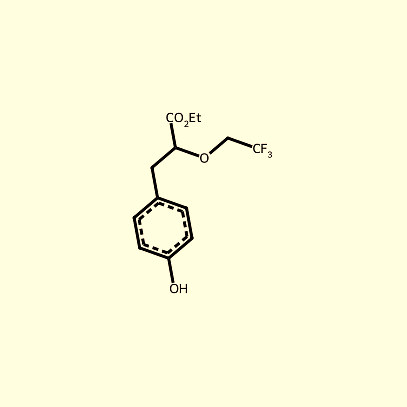 CCOC(=O)C(Cc1ccc(O)cc1)OCC(F)(F)F